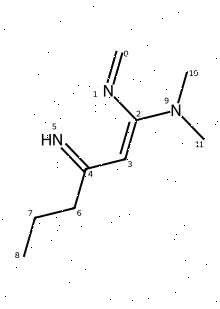 C=N/C(=C\C(=N)CCC)N(C)C